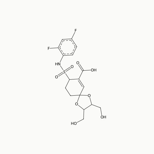 O=C(O)C1=CC2(CCC1S(=O)(=O)Nc1ccc(F)cc1F)OC(CO)C(CO)O2